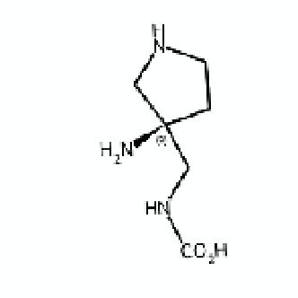 N[C@]1(CNC(=O)O)CCNC1